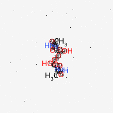 Cc1cn([C@H]2CC(O)[C@@H](OCCO[C@@H]3C[C@H](n4cc(C)c(=O)[nH]c4=O)O[C@@H]3CO)O2)c(=O)[nH]c1=O